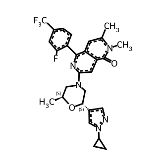 Cc1cc2c(-c3ccc(C(F)(F)F)cc3F)nc(N3C[C@H](C)O[C@@H](c4cnn(C5CC5)c4)C3)cc2c(=O)n1C